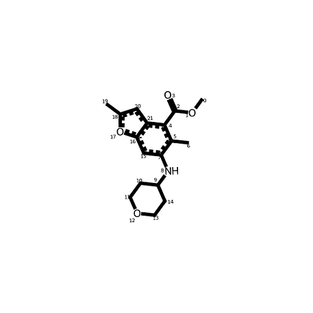 COC(=O)c1c(C)c(NC2CCOCC2)cc2oc(C)cc12